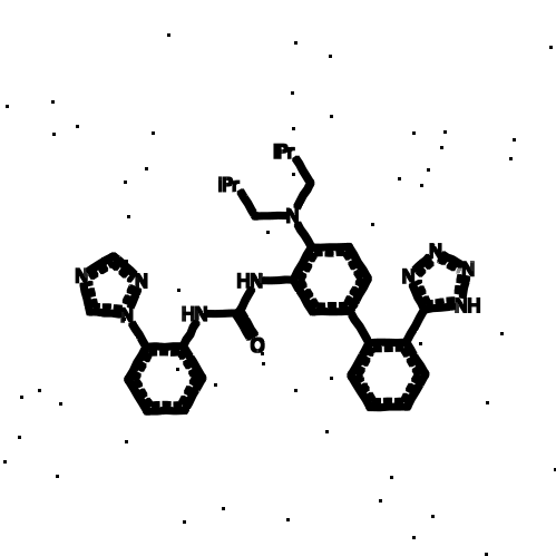 CC(C)CN(CC(C)C)c1ccc(-c2ccccc2-c2nnn[nH]2)cc1NC(=O)Nc1ccccc1-n1cncn1